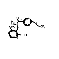 CC(c1ccc(OCC(F)(F)F)nc1)N(C)Cc1c(C=O)ccnc1C=O